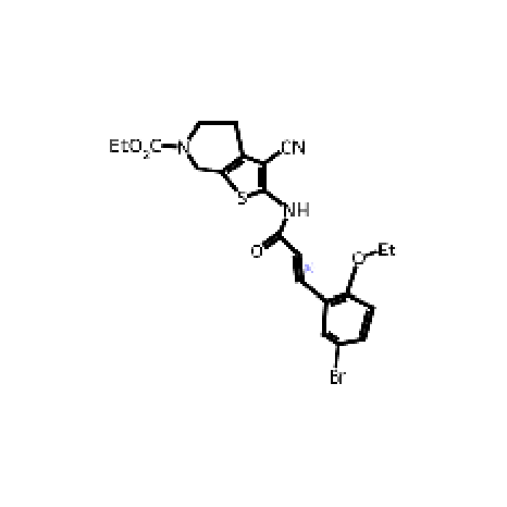 CCOC(=O)N1CCc2c(sc(NC(=O)/C=C/c3cc(Br)ccc3OCC)c2C#N)C1